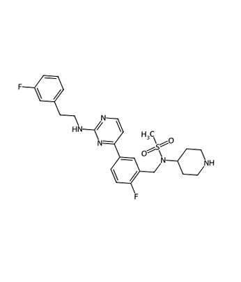 CS(=O)(=O)N(Cc1cc(-c2ccnc(NCCc3cccc(F)c3)n2)ccc1F)C1CCNCC1